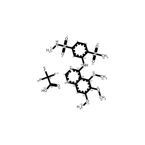 CNS(=O)(=O)c1ccc(S(C)(=O)=O)c(Nc2ncnc3cc(OC)c(OC)c(OC)c23)c1.O=C(O)C(F)(F)F